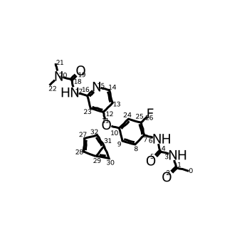 CC(=O)NC(=O)Nc1ccc(Oc2ccnc(NC(=O)N(C)C)c2)cc1F.c1cc2cc-2c1